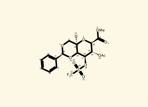 COC(=O)[C@@H]1O[C@@H]2CO[C@H](c3ccccc3)OC2[C@H](OS(=O)(=O)C(F)(F)F)[C@H]1OC(C)=O